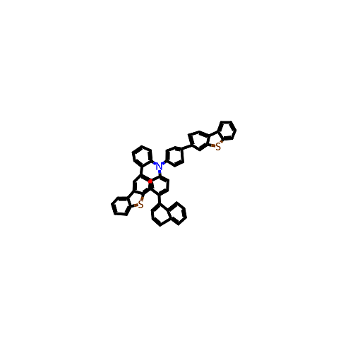 c1ccc(N(c2ccc(-c3ccc4c(c3)sc3ccccc34)cc2)c2ccc(-c3cccc4ccccc34)cc2)c(-c2ccc3sc4ccccc4c3c2)c1